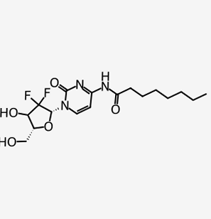 CCCCCCCC(=O)Nc1ccn([C@@H]2O[C@H](CO)C(O)C2(F)F)c(=O)n1